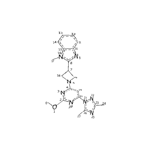 COc1nc(N2CC(c3nc4ccccc4n3C)C2)cc(-n2nc(C)nc2C)n1